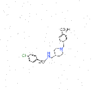 O=C(O)c1ccc(CN2CCC(CNC3C[C@H]3c3ccc(Cl)cc3)CC2)cc1